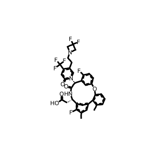 Cc1cc2cc(c1F)[C@H](CC(=O)O)NC(=O)[C@H](n1cc(CCN3CC(F)(F)C3)c(C(F)(F)F)cc1=O)c1cc(ccc1F)Oc1cccc(C)c1-2